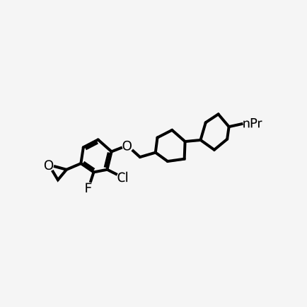 CCCC1CCC(C2CCC(COc3ccc(C4CO4)c(F)c3Cl)CC2)CC1